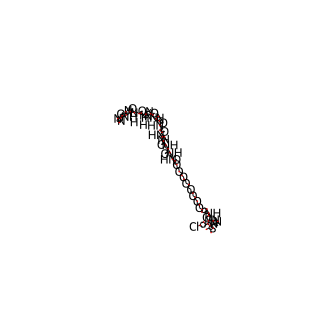 Cc1sc2c(c1C)C(c1ccc(Cl)cc1)=N[C@@H](CC(=O)Nc1ccc(OCCOCCOCCOCCOCCOCCOCCOCC(=O)NCCNC(=O)CCNC(=O)c3nc(NC(=O)CCNC(=O)c4cc(NC(=O)c5nc(NC(=O)CCNC(=O)c6cc(NC(=O)c7nccn7C)cn6C)cn5C)cn4C)cn3C)cc1)c1nnc(C)n1-2